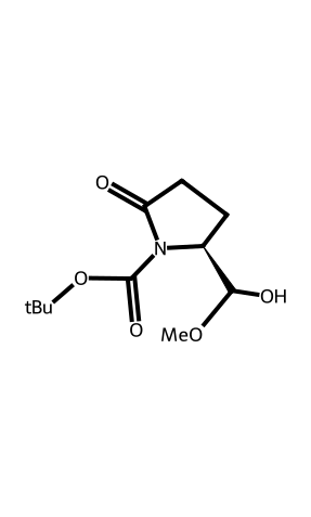 COC(O)[C@@H]1CCC(=O)N1C(=O)OC(C)(C)C